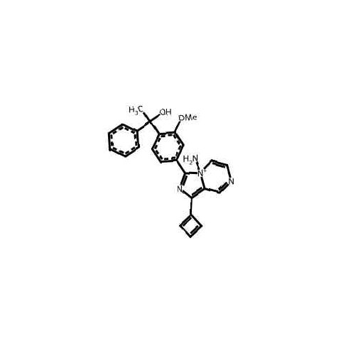 COc1cc(C2=NC(C3=CC=C3)=C3C=NC=C[N+]23N)ccc1C(C)(O)c1ccccc1